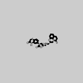 O=C1CSc2ccc(N3C[C@@H](CNC[C@H]4Cn5c(=O)ccc6cccc(c65)O4)OC3=O)cc2N1